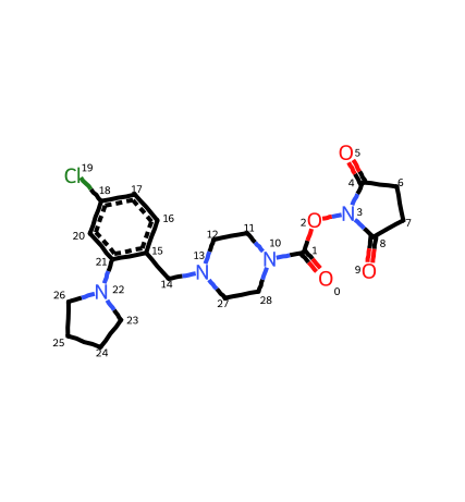 O=C(ON1C(=O)CCC1=O)N1CCN(Cc2ccc(Cl)cc2N2CCCC2)CC1